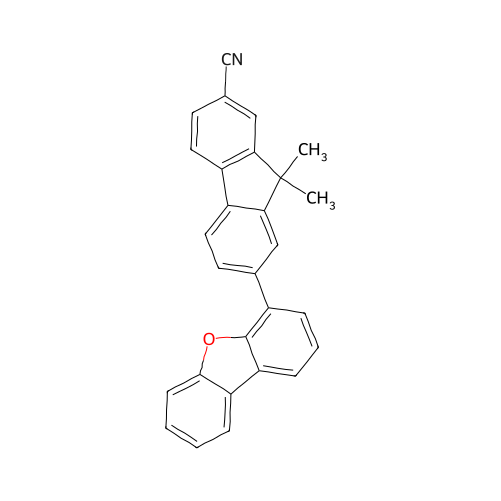 CC1(C)c2cc(C#N)ccc2-c2ccc(-c3cccc4c3oc3ccccc34)cc21